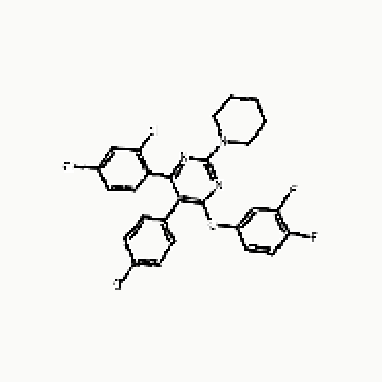 Fc1ccc(Oc2nc(N3CCCCC3)nc(-c3ccc(Cl)cc3Cl)c2-c2ccc(Cl)cc2)cc1F